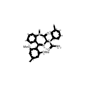 COc1cc(C)cc(OC)c1C1=NC(N(C(N)=O)c2cccc(C)c2)C(=O)N(C)c2ccccc21